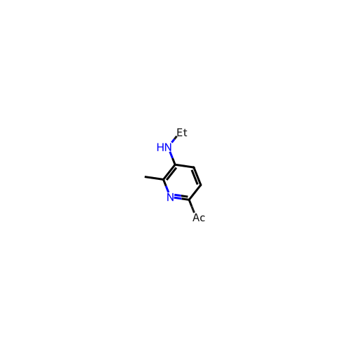 CCNc1ccc(C(C)=O)nc1C